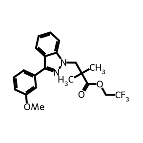 COc1cccc(-c2nn(CC(C)(C)C(=O)OCC(F)(F)F)c3ccccc23)c1